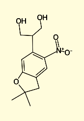 CC1(C)Cc2cc([N+](=O)[O-])c(C(CO)CO)cc2O1